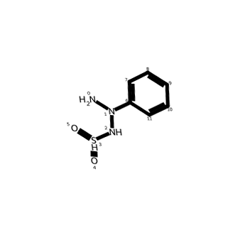 NN(N[SH](=O)=O)c1ccccc1